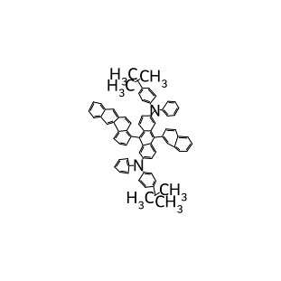 CC(C)(C)c1ccc(N(c2ccccc2)c2ccc3c(-c4cccc5c4ccc4cc6ccccc6cc45)c4cc(N(c5ccccc5)c5ccc(C(C)(C)C)cc5)ccc4c(-c4ccc5ccccc5c4)c3c2)cc1